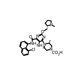 C[C@H]1CN(C(=O)O)CCN1c1nc(OC[C@@H]2CCCN2C)nc(C(=O)Nc2cccc3cccc(Cl)c23)c1N